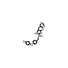 O=c1nc(NCCc2ccc(Oc3ccc(F)cc3)cc2)[nH]cc1Cc1cncnc1